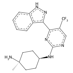 C[C@]1(N)CC[C@@H](Nc2ncc(C(F)(F)F)c(-c3n[nH]c4ccccc34)n2)CC1